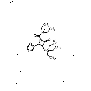 CCN(CC)C(=O)N1C(=O)C(O[Si](CC)(CC)CC)C1c1ccco1